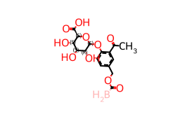 BC(=O)OCc1ccc(O[C@@H]2O[C@H](C(=O)O)[C@@H](O)[C@H](O)[C@H]2O)c(C(C)=O)c1